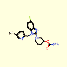 N#Cc1ccc(Cn2c(N3CCCC(OC(N)=O)C3)nc3cc(F)ccc32)nc1